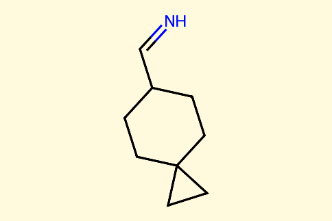 N=CC1CCC2(CC1)CC2